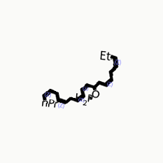 CC/C=C\C/C=C\CC(/C=C\C=C/C/C=C\C/C=C\CCC)OP